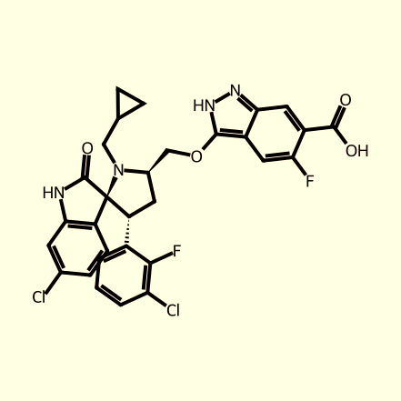 O=C(O)c1cc2n[nH]c(OC[C@H]3C[C@H](c4cccc(Cl)c4F)[C@]4(C(=O)Nc5cc(Cl)ccc54)N3CC3CC3)c2cc1F